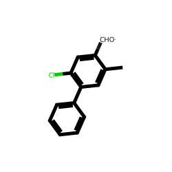 Cc1cc(-c2ccccc2)c(Cl)cc1[C]=O